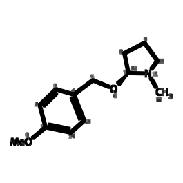 COc1ccc(CO[C@H]2CCCN2C)cc1